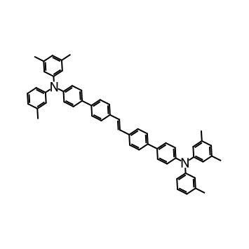 Cc1cccc(N(c2ccc(-c3ccc(/C=C/c4ccc(-c5ccc(N(c6cccc(C)c6)c6cc(C)cc(C)c6)cc5)cc4)cc3)cc2)c2cc(C)cc(C)c2)c1